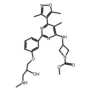 CNCC(O)COc1cccc(-c2nc(NC3CN(C(=O)OC)C3)c(C)c(-c3c(C)noc3C)n2)c1